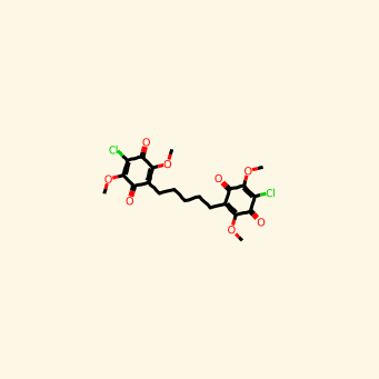 COC1=C(Cl)C(=O)C(OC)=C(CCCCCC2=C(OC)C(=O)C(Cl)=C(OC)C2=O)C1=O